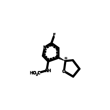 O=C(O)Nc1cnc(F)cc1[C@@H]1CCCO1